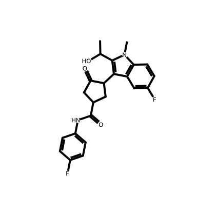 CC(O)c1c(C2CC(C(=O)Nc3ccc(F)cc3)CC2=O)c2cc(F)ccc2n1C